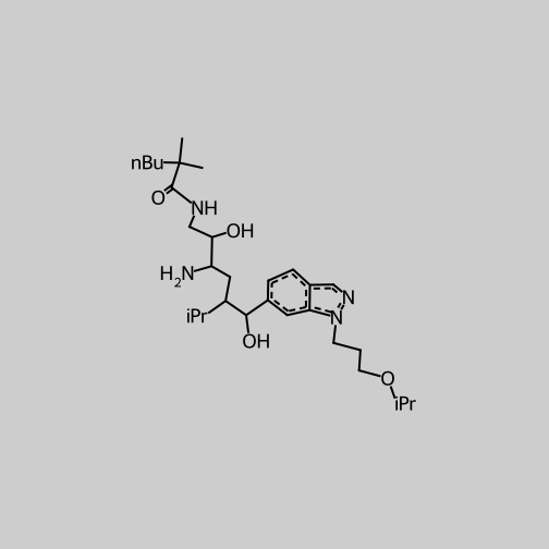 CCCCC(C)(C)C(=O)NCC(O)C(N)CC(C(C)C)C(O)c1ccc2cnn(CCCOC(C)C)c2c1